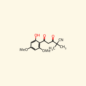 COc1cc(O)c(C(=O)CC(=O)C(C)(C)C#N)c(OC)c1